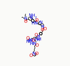 CCCN(CCC)C(=O)C1=Cc2ccc(C(=O)Nc3cnc4c(c3)CN(C(=O)OCc3ccc(NC(=O)[C@H](CCCNC(N)=O)NC(=O)CNC(=O)CCCCCN5C(=O)C=CC5=O)cc3)CC4)cc2N=C(N)C1